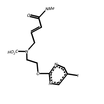 CNC(=O)C=CCN(CCOc1ncc(I)cn1)C(=O)O